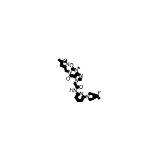 Cc1cc(Cn2c(=O)c3c(ncn3CC(=O)Nc3cccc(N4CC5C(C4)C5(C)F)n3)n(C)c2=O)no1